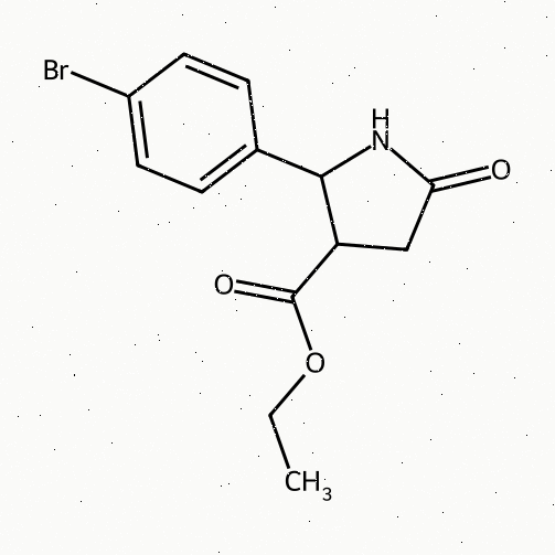 CCOC(=O)C1CC(=O)NC1c1ccc(Br)cc1